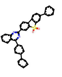 O=S1(=O)c2cc(-c3ccccc3)ccc2-c2ccc(-c3nc(-c4ccc(-c5ccccc5)cc4)c4ccccc4n3)cc21